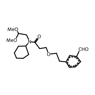 COC(CN(C(=O)CCOCCc1cccc(C=O)c1)C1CCCCC1)OC